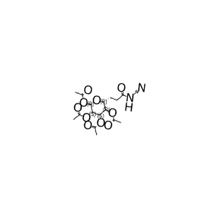 CC(=O)O[C@H]1O[C@H](CCC(=O)NC#N)[C@@H](OC(C)=O)[C@H](OC(C)=O)[C@@H]1OC(C)=O